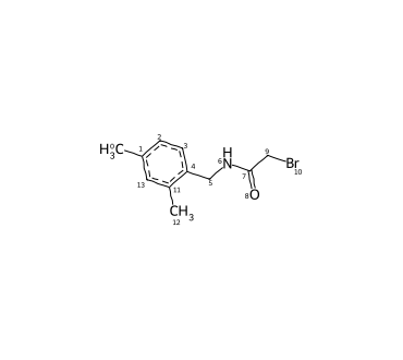 Cc1ccc(CNC(=O)CBr)c(C)c1